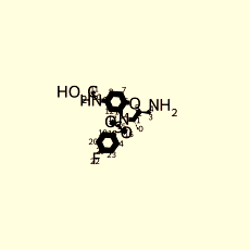 C[C@H]1[C@H](CN)Oc2ccc(NC(=O)O)cc2N1S(=O)(=O)c1ccc(F)cc1